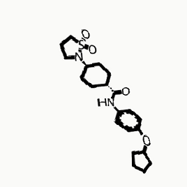 O=C(Nc1ccc(OC2CCCC2)cc1)[C@H]1CC[C@H](N2CCCS2(=O)=O)CC1